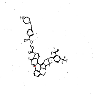 CCc1cccc(CC)c1-n1nc2c(c1-c1ccc(F)c3c1ccn3C(=O)OCOC(=O)c1ccc(CN3CCNCC3)cc1)CN(Cc1ccc(C(F)(F)F)cc1C(F)(F)F)C2(C)C